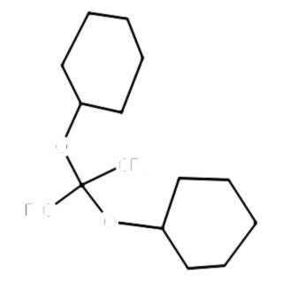 FC(F)(F)C(OC1CCCCC1)(OC1CCCCC1)C(F)(F)F